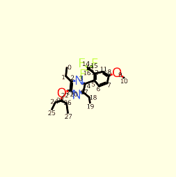 CCc1nc(-c2ccc(OC)cc2C(F)(F)F)c(CC)nc1OC(CC)CC